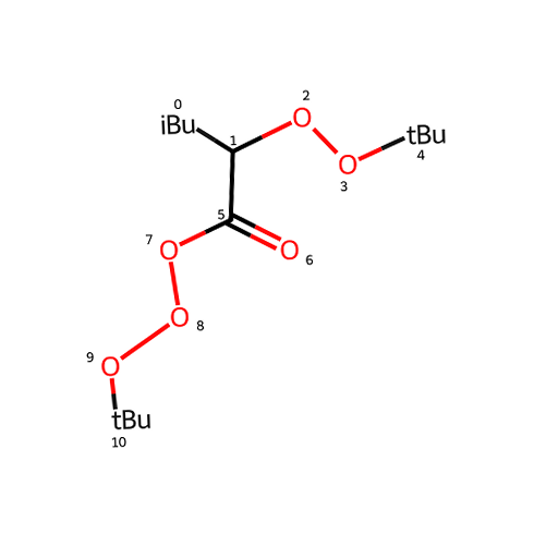 CCC(C)C(OOC(C)(C)C)C(=O)OOOC(C)(C)C